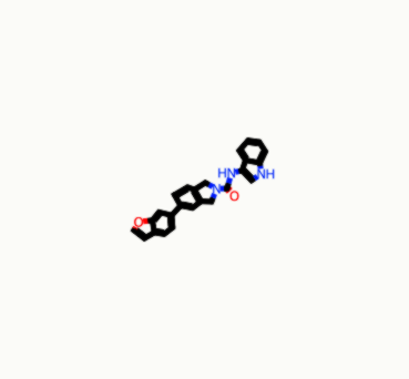 O=C(Nc1c[nH]c2ccccc12)N1Cc2ccc(-c3ccc4ccoc4c3)cc2C1